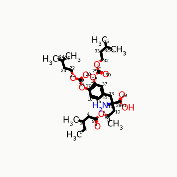 CCC(C)CC(=O)O[C@@H](C)CC(N)(Cc1ccc(OC(=O)OCCC(C)C)c(OC(=O)OCCC(C)C)c1)C(=O)O